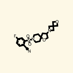 N#Cc1ccc(F)cc1S(=O)(=O)N1CCC2(CC1)CC(N1CC3(COC3)C1)CO2